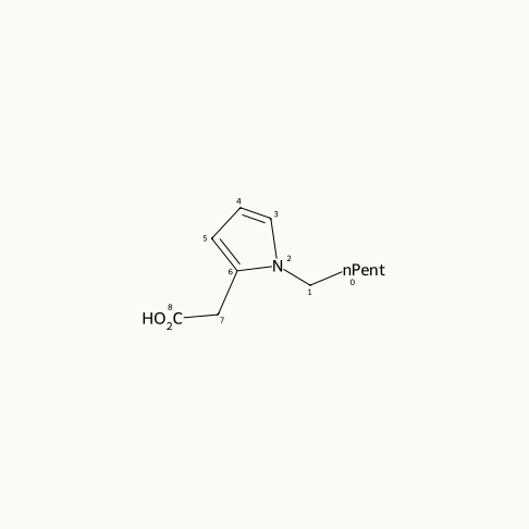 CCCCCCn1cccc1CC(=O)O